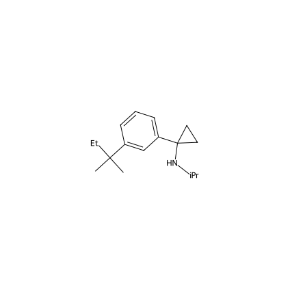 CCC(C)(C)c1cccc(C2(NC(C)C)CC2)c1